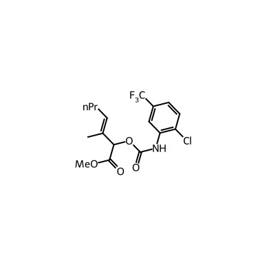 CCCC=C(C)C(OC(=O)Nc1cc(C(F)(F)F)ccc1Cl)C(=O)OC